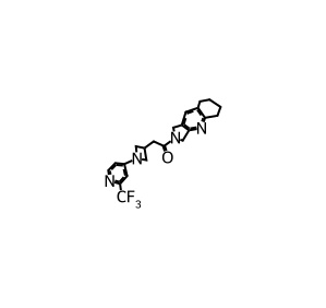 O=C(CC1CN(c2ccnc(C(F)(F)F)c2)C1)N1Cc2cc3c(nc2C1)CCCC3